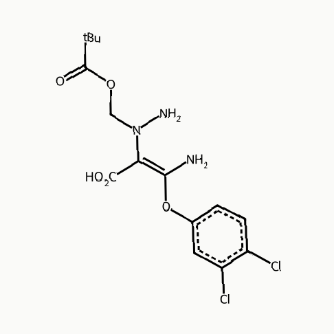 CC(C)(C)C(=O)OCN(N)/C(C(=O)O)=C(\N)Oc1ccc(Cl)c(Cl)c1